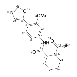 COc1cc(NC(=O)C2CCCCN2C(=O)C(C)C)ccc1-c1cnco1